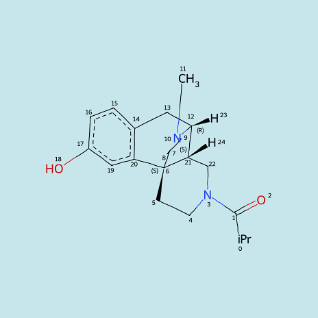 CC(C)C(=O)N1CC[C@]23CCCN(C)[C@H](Cc4ccc(O)cc42)[C@@H]3C1